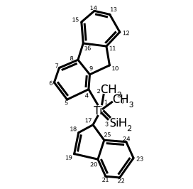 [CH3][Ti]([CH3])(=[SiH2])([c]1cccc2c1Cc1ccccc1-2)[CH]1C=Cc2ccccc21